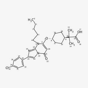 CCCCCn1c(O[C@H]2CC[C@H](C(C)(C)C(=O)O)CC2)cc(=O)n2cc(-c3ccc(Cl)cc3)nc12